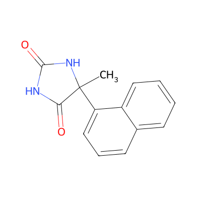 CC1(c2cccc3ccccc23)NC(=O)NC1=O